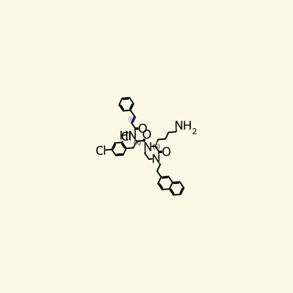 NCCCC[C@H]1C(=O)N(CCc2ccc3ccccc3c2)CCN1C(=O)[C@@H](Cc1ccc(Cl)cc1Cl)NC(=O)/C=C/c1ccccc1